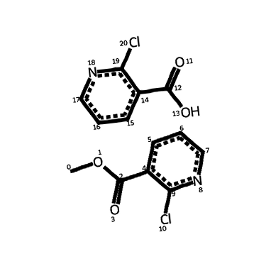 COC(=O)c1cccnc1Cl.O=C(O)c1cccnc1Cl